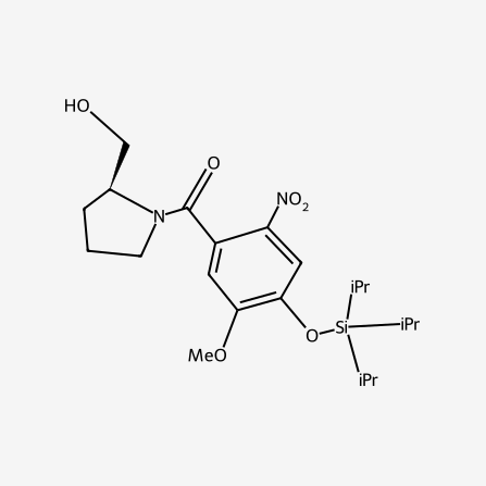 COc1cc(C(=O)N2CCC[C@H]2CO)c([N+](=O)[O-])cc1O[Si](C(C)C)(C(C)C)C(C)C